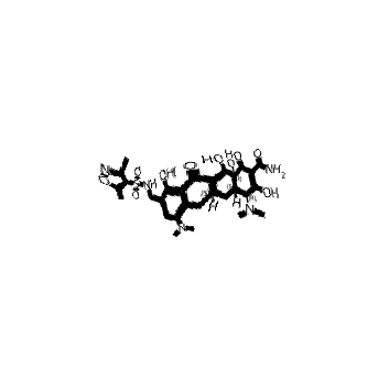 Cc1noc(C)c1S(=O)(=O)NCc1cc(N(C)C)c2c(c1O)C(=O)C1=C(O)[C@@]3(O)C(=O)C(C(N)=O)=C(O)[C@H](N(C)C)[C@@H]3C[C@H]1C2